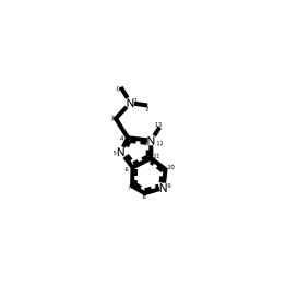 CN(C)Cc1nc2ccncc2n1C